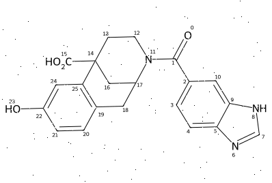 O=C(c1ccc2nc[nH]c2c1)N1CCC2(C(=O)O)CC1Cc1ccc(O)cc12